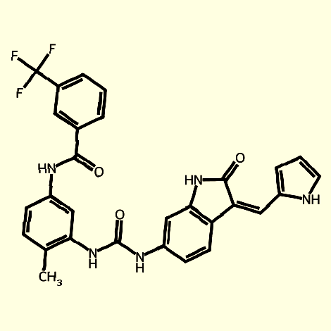 Cc1ccc(NC(=O)c2cccc(C(F)(F)F)c2)cc1NC(=O)Nc1ccc2c(c1)NC(=O)C2=Cc1ccc[nH]1